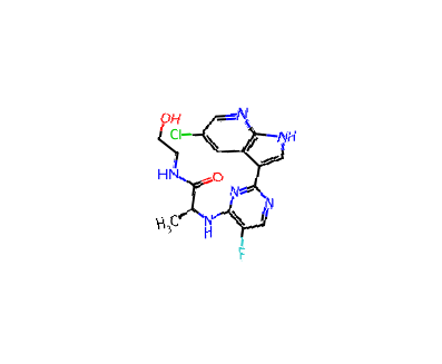 C[C@H](Nc1nc(-c2c[nH]c3ncc(Cl)cc23)ncc1F)C(=O)NCCO